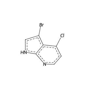 Clc1ccnc2[nH]cc(Br)c12